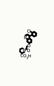 O=C(O)[C@H]1CCCN(C(=O)COc2ccc3c(-c4ccccc4Cl)ccnc3c2)C1